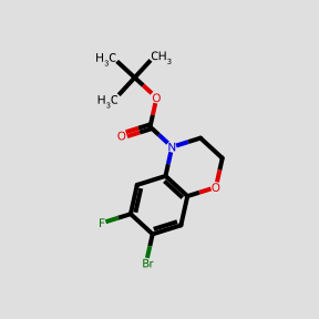 CC(C)(C)OC(=O)N1CCOc2cc(Br)c(F)cc21